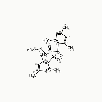 CCCCCCCCCCCCP(=O)(C(=O)c1c(C)cc(C)cc1C)C(=O)c1c(C)cc(C)cc1C